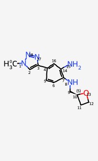 Cn1cc(-c2ccc(NC[C@@H]3CCO3)c(N)c2)nn1